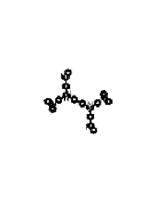 c1ccc2ncc(-c3ccc(-c4cc(-c5ccc(-n6c7ccccc7c7ccccc76)cc5)nc(-c5ccc(-c6ccc(-c7nc(-c8ccc(-c9cnc%10ccccc%10c9)cc8)cc(-c8ccc(-n9c%10ccccc%10c%10ccccc%109)cc8)n7)cc6)cc5)n4)cc3)cc2c1